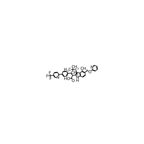 Cc1c(COc2ccccn2)ccc2[nH]c(C(Cc3ccc(-c4ccc(C(F)(F)F)cn4)cc3)C(=O)O)c(SC(C)(C)C)c12